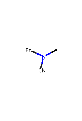 C[CH]N(C)C#N